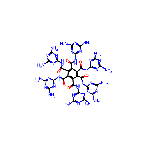 Nc1nc(N)nc(NC(=O)c2c(C(=O)Nc3nc(N)nc(N)n3)c(C(=O)Nc3nc(N)nc(N)n3)c(C(=O)Nc3nc(N)nc(N)n3)c(C(=O)Nc3nc(N)nc(N)n3)c2C(=O)Nc2nc(N)nc(N)n2)n1